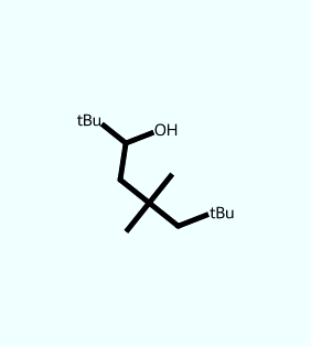 CC(C)(C)CC(C)(C)CC(O)C(C)(C)C